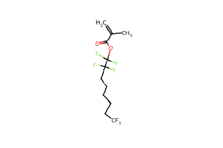 C=C(C)C(=O)OC(F)(F)C(F)(F)CCCCCC(F)(F)F